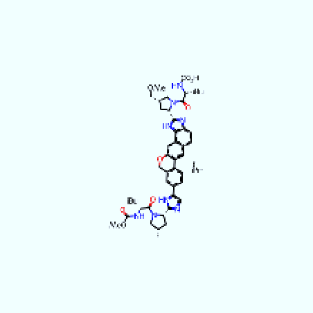 CC[C@@H](C)C(NC(=O)O)C(=O)N1C[C@@H](COC)C[C@H]1c1nc2ccc3cc4c(cc3c2[nH]1)OCc1cc(-c2cnc([C@@H]3C[C@H](C)CN3C(=O)[C@@H](NC(=O)OC)[C@H](C)CC)[nH]2)ccc1-4.C[C](C)C